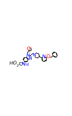 O=C(O)Nc1ccc2c(c1)nc(CN1CCC(c3cccc(OCc4ccccc4)n3)CC1)n2C[C@@H]1CCO1